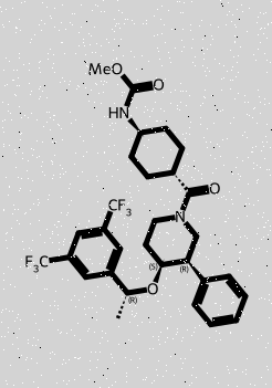 COC(=O)N[C@H]1CC[C@H](C(=O)N2CC[C@H](O[C@H](C)c3cc(C(F)(F)F)cc(C(F)(F)F)c3)[C@H](c3ccccc3)C2)CC1